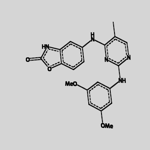 COc1cc(Nc2ncc(C)c(Nc3ccc4oc(=O)[nH]c4c3)n2)cc(OC)c1